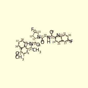 COc1ccc([C@H](C)NC(=O)[C@@H]2C[C@@H](F)CN2C(=O)CNC(=O)c2ccc3cc(F)ccc3n2)c2ccccc12